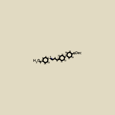 C=C[C@H]1CC[C@H](/C=C/CCC2CCC([C@H]3CC[C@H](CCCCCCCCCC)CC3)CC2)CC1